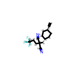 C#C[C@H]1CC[C@H](CC(C#N)(C#N)CCC(F)(F)F)CC1